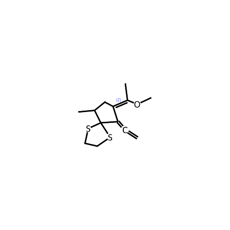 C=C=C1/C(=C(/C)OC)CC(C)C12SCCS2